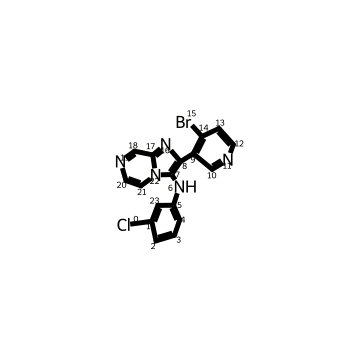 Clc1cccc(Nc2c(-c3cnccc3Br)nc3cnccn23)c1